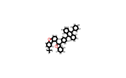 CC(C)(C)c1ccc2oc3cccc(-c4oc5ccccc5c4-c4ccc(-c5c6ccccc6c(-c6ccccc6)c6ccccc56)cc4)c3c2c1